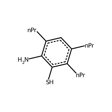 CCCc1cc(CCC)c(CCC)c(S)c1N